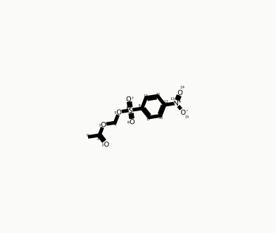 CC(=O)OCOS(=O)(=O)c1ccc([N+](=O)[O-])cc1